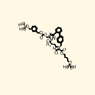 CCCCc1nc(Cl)c(C(=O)OCCCCON(O)O)n1Cc1ccc(-c2ccccc2-c2nnn(COC(=O)OCc3cccc(CON(O)O)c3)n2)cc1